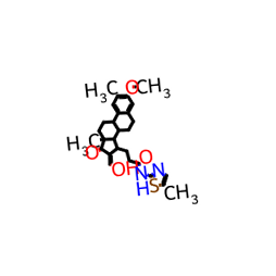 COc1cc2c(cc1C)C1CCC3(C)C(=O)/C(=C/O)C(CCC(=O)Nc4ncc(C)s4)C3C1CC2